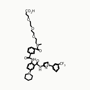 CN(CCOCCOCCOCCC(=O)O)C(=O)c1cccc(C(=O)Nc2ccc(N3CCCCC3)cc2C(=O)Nc2ccn(-c3cccc(C(F)(F)F)c3)n2)c1